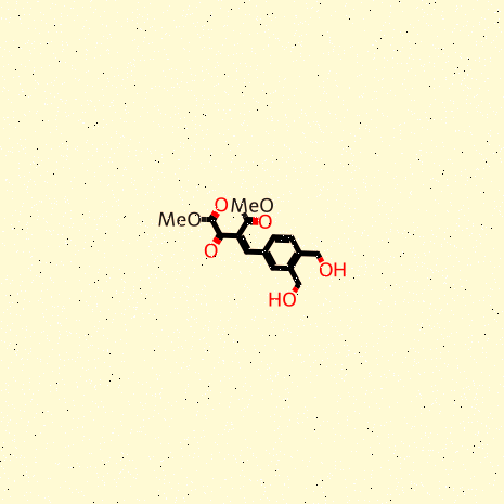 COC(=O)C(=O)C(=Cc1ccc(CO)c(CO)c1)C(=O)OC